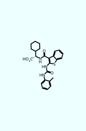 Cc1ccccc1NC(=O)Nc1sc2ccccc2c1C(=O)N[C@H](C(=O)O)C1CCCCC1